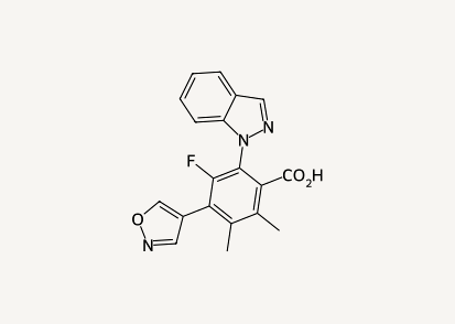 Cc1c(C)c(-c2cnoc2)c(F)c(-n2ncc3ccccc32)c1C(=O)O